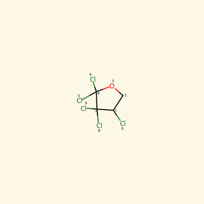 ClC1COC(Cl)(Cl)C1(Cl)Cl